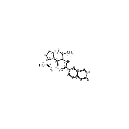 CC(C)C(NC(=O)c1ccc2cnccc2c1)C(=O)N1CCC[C@H]1C(=O)O